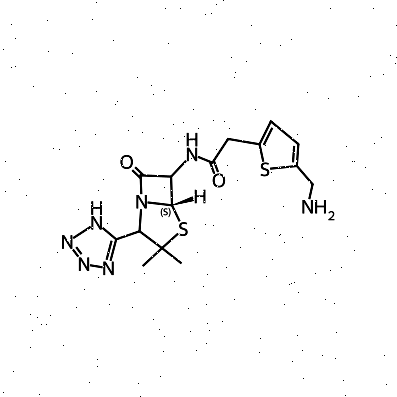 CC1(C)S[C@H]2C(NC(=O)Cc3ccc(CN)s3)C(=O)N2C1c1nnn[nH]1